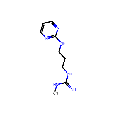 N#CNC(=N)NCCCNc1ncccn1